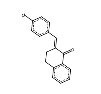 O=C1/C(=C/c2ccc(Cl)cc2)CCc2ccccc21